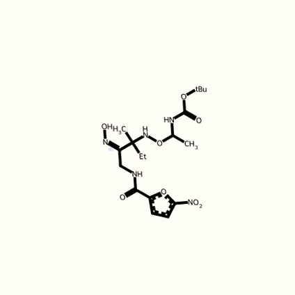 CCC(C)(NOC(C)NC(=O)OC(C)(C)C)/C(CNC(=O)c1ccc([N+](=O)[O-])o1)=N\O